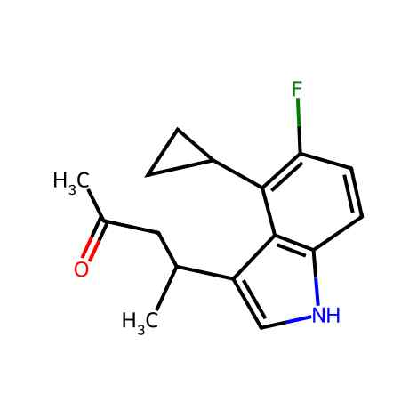 CC(=O)CC(C)c1c[nH]c2ccc(F)c(C3CC3)c12